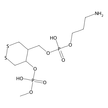 COP(=O)(O)OC1CSSCC1COP(=O)(O)OCCCN